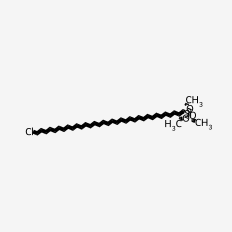 CCO[Si](CCCCCCCCCCCCCCCCCCCCCCCCCCCCCCCCCCCl)(OCC)OCC